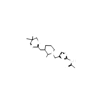 CC(=O)Nc1ncc(CN2CCCC(CC3=NCC(C)(F)C=N3)C2C)s1